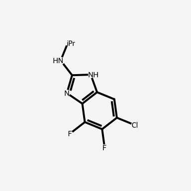 CC(C)Nc1nc2c(F)c(F)c(Cl)cc2[nH]1